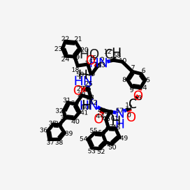 O=C1COc2ccc(cc2)C[C@@H](C(=O)O)NC(=O)[C@H](CCc2ccccc2)NC(=O)[C@@H](Cc2ccc(-c3ccccc3)cc2)NC(=O)[C@H](Cc2cccc3ccccc23)N1